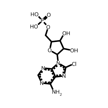 Nc1ncnc2c1nc(Cl)n2C1OC(COP(=O)(O)O)C(O)C1O